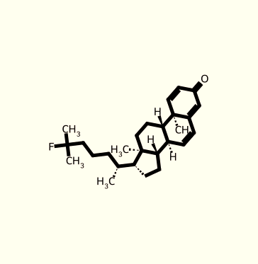 C[C@H](CCCC(C)(C)F)[C@H]1CC[C@H]2[C@@H]3C=CC4=CC(=O)C=C[C@]4(C)[C@H]3CC[C@]12C